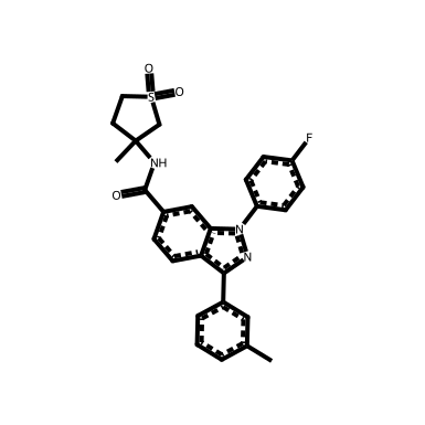 Cc1cccc(-c2nn(-c3ccc(F)cc3)c3cc(C(=O)NC4(C)CCS(=O)(=O)C4)ccc23)c1